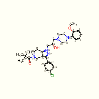 COc1ccccc1N1CCN(CC(O)Cn2nc(-c3ccc(Cl)cc3)c3c2CCN(C(=O)C(C)(C)C)C3)CC1